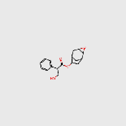 O=C(OC1CC2CC1CC1OC21)C(CO)c1ccccc1